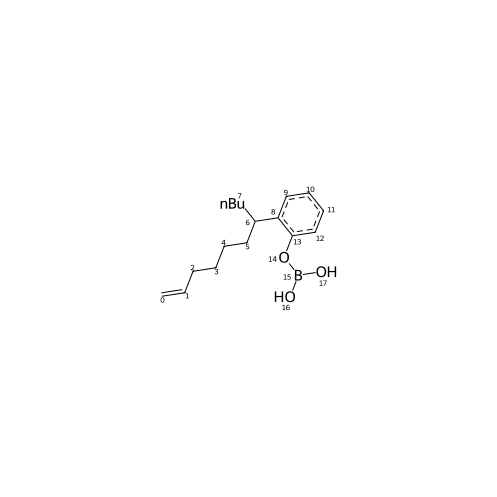 C=CCCCCC(CCCC)c1ccccc1OB(O)O